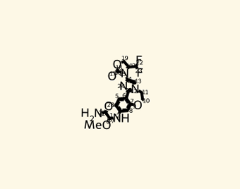 CO[C@H](Nc1ccc2c(c1)OCCn1cc(N3C(=O)OCC3C(F)F)nc1-2)C(N)=O